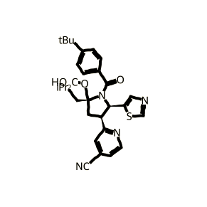 CC(C)C[C@]1(OC(=O)O)C[C@H](c2cc(C#N)ccn2)[C@H](c2cncs2)N1C(=O)c1ccc(C(C)(C)C)cc1